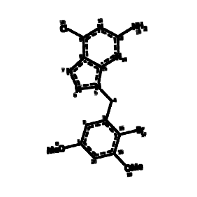 COc1cc(Cn2nnc3c(Cl)nc(N)nc32)c(Br)c(OC)c1